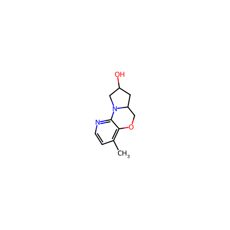 Cc1ccnc2c1OCC1CC(O)CN21